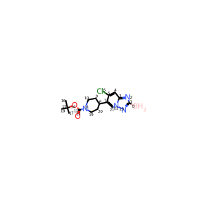 Bc1nc2cc(Cl)c(C3CCN(C(=O)OC(C)(C)C)CC3)cn2n1